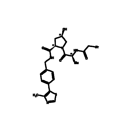 Cc1ncsc1-c1ccc(CNC(=O)[C@@H]2C[C@@H](O)CN2C(=O)[C@@H](NC(=O)CC(C)C)C(C)(C)C)cc1